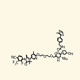 C=C1N(c2ccc(C#N)c(C(F)(F)F)c2F)C(=O)C(C)(C)N1c1cnc(OCCOCCOCC(=O)N[C@H](C(=O)N2C[C@H](O)C[C@H]2C(=O)NCc2ccc(-c3scnc3C)cc2)C(C)(C)C)c(C)c1